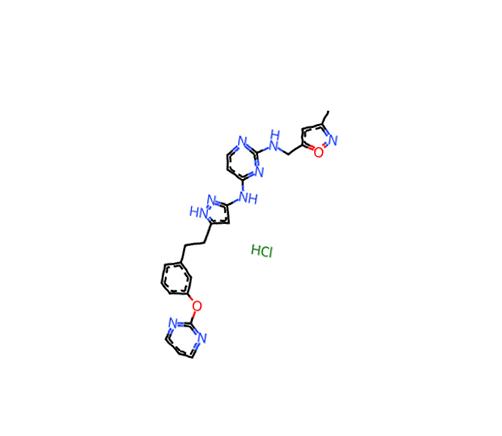 Cc1cc(CNc2nccc(Nc3cc(CCc4cccc(Oc5ncccn5)c4)[nH]n3)n2)on1.Cl